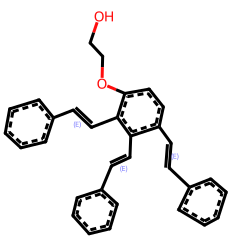 OCCOc1ccc(/C=C/c2ccccc2)c(/C=C/c2ccccc2)c1/C=C/c1ccccc1